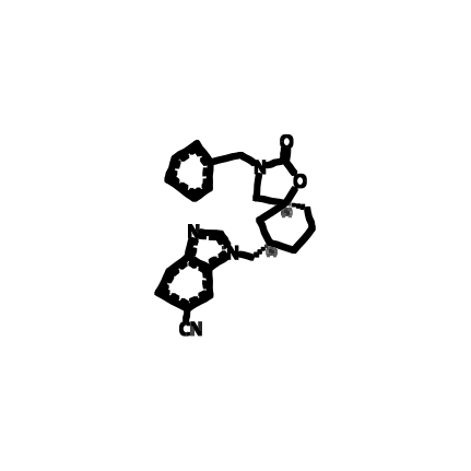 N#Cc1ccc2ncn(C[C@H]3CCC[C@]4(C3)CN(Cc3ccccc3)C(=O)O4)c2c1